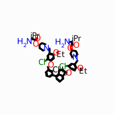 CCOc1cc(OCc2cccc(-c3cccc4c3CC[C@@H]4Oc3cc(OCC)c(CN4CCC(OC(=O)[C@@H](N)C(C)C)CC4)cc3Cl)c2C)c(Cl)cc1CN1CCC(OC(=O)C(N)C(C)C)CC1